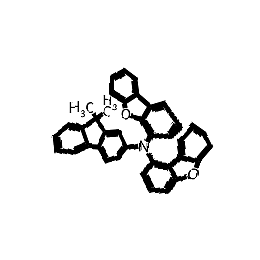 CC1(C)c2ccccc2-c2ccc(N(c3cccc4c3oc3ccccc34)c3cccc4oc5ccccc5c34)cc21